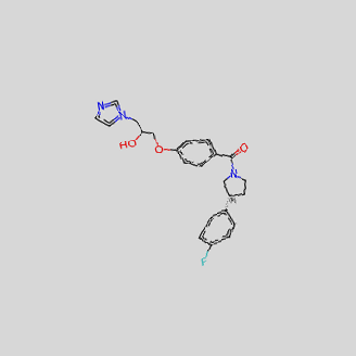 O=C(c1ccc(OCC(O)Cn2ccnc2)cc1)N1CC[C@H](c2ccc(F)cc2)C1